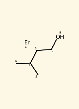 CC(C)CCO.[Er]